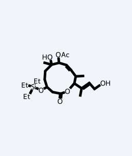 CC[Si](CC)(CC)OC1CCC(C)(O)C(OC(C)=O)C=CC(C)C(C(C)=CCO)OC(=O)C1